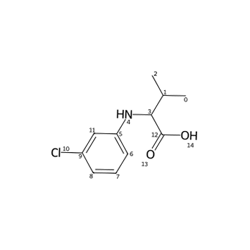 CC(C)C(Nc1cccc(Cl)c1)C(=O)O